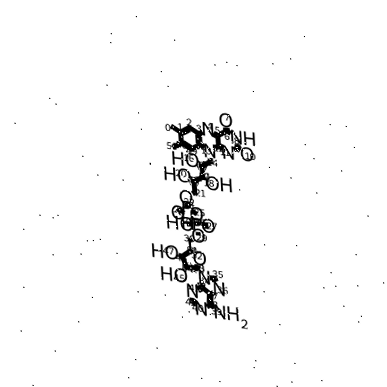 Cc1cc2nc3c(=O)[nH]c(=O)nc-3n(C[C@H](O)[C@H](O)[C@H](O)CO[PH](=O)OP(=O)(O)OC[C@H]3O[C@@H](n4cnc5c(N)ncnc54)[C@@H](O)C3O)c2cc1C